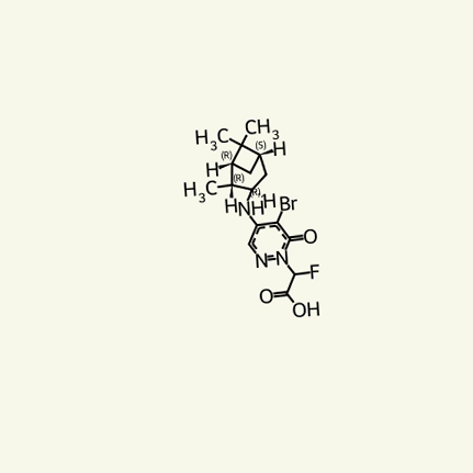 C[C@@H]1[C@H]2C[C@@H](C[C@H]1Nc1cnn(C(F)C(=O)O)c(=O)c1Br)C2(C)C